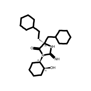 N=C1N[C@](CCC2CCCCC2)(CC2CCCCC2)C(=O)N1[C@@H]1CCCC[C@@H]1O